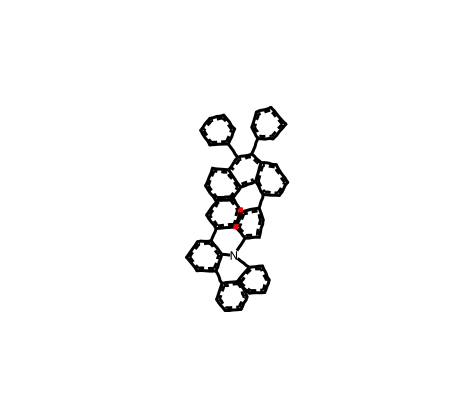 c1ccc(-c2cccc(-c3ccccc3)c2N(c2ccccc2)c2ccc(-c3cccc4c(-c5ccccc5)c(-c5ccccc5)c5ccccc5c34)cc2)cc1